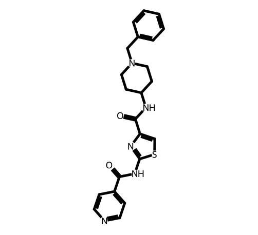 O=C(Nc1nc(C(=O)NC2CCN(Cc3ccccc3)CC2)cs1)c1ccncc1